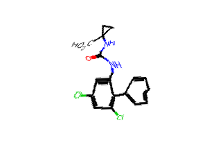 O=C(Nc1cc(Cl)cc(Cl)c1-c1ccccc1)NC1(C(=O)O)CC1